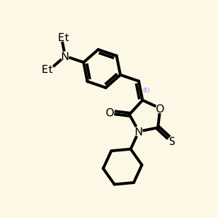 CCN(CC)c1ccc(/C=C2/OC(=S)N(C3CCCCC3)C2=O)cc1